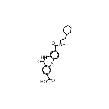 O=C(O)c1ccc2c(c1)Sc1ccc(C(=O)NCCC3CCCCC3)cc1NC2=O